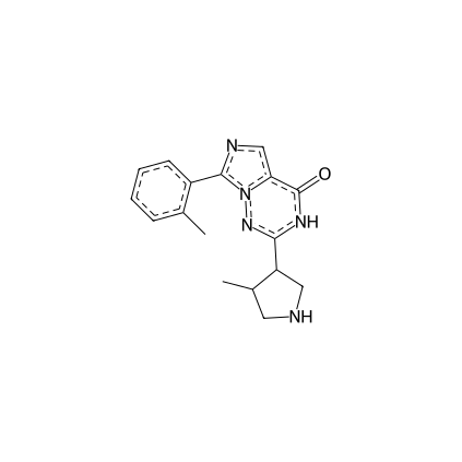 Cc1ccccc1-c1ncc2c(=O)[nH]c(C3CNCC3C)nn12